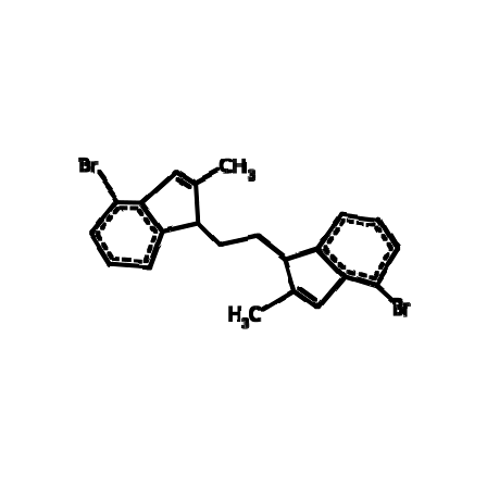 CC1=Cc2c(Br)cccc2C1CCC1C(C)=Cc2c(Br)cccc21